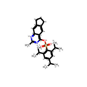 Cc1nc(OS(=O)(=O)c2c(C(C)C)cc(C(C)C)cc2C(C)C)c2cc3c(cc2n1)CCC3